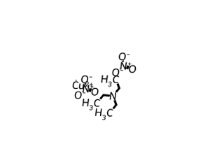 CCN(CC)CC.O=[N+]([O-])[O-].O=[N+]([O-])[O-].[Cu+2]